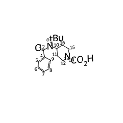 CC(C)(C)N(C(=O)c1ccccc1)C1CCN(C(=O)O)CC1